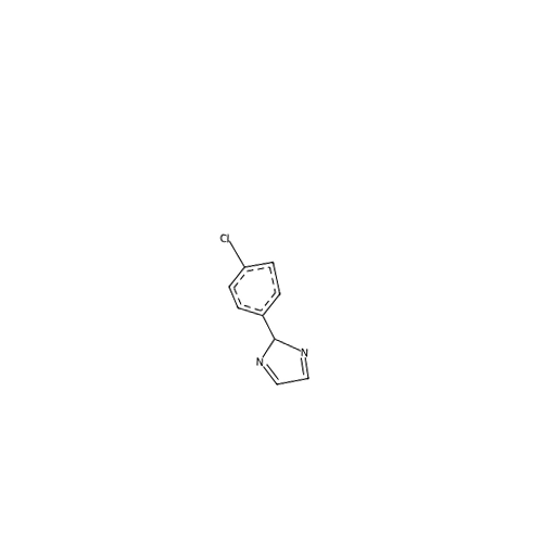 Clc1ccc(C2N=CC=N2)cc1